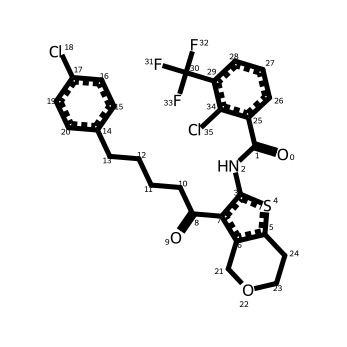 O=C(Nc1sc2c(c1C(=O)CCCCc1ccc(Cl)cc1)COCC2)c1cccc(C(F)(F)F)c1Cl